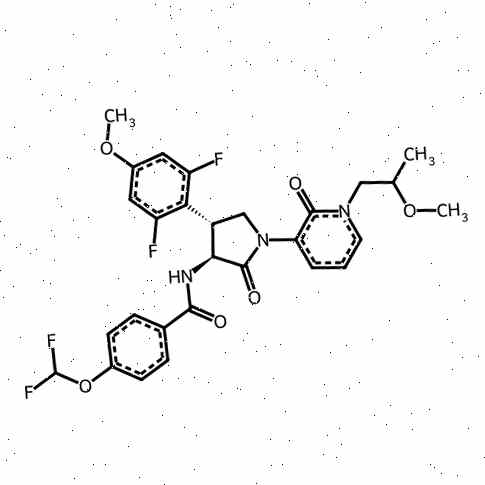 COc1cc(F)c([C@@H]2CN(c3cccn(CC(C)OC)c3=O)C(=O)[C@H]2NC(=O)c2ccc(OC(F)F)cc2)c(F)c1